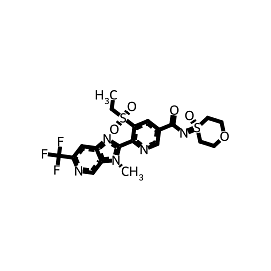 CCS(=O)(=O)c1cc(C(=O)N=S2(=O)CCOCC2)cnc1-c1nc2cc(C(F)(F)F)ncc2n1C